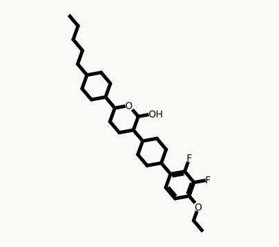 CCCCCC1CCC(C2CCC(C3CCC(c4ccc(OCC)c(F)c4F)CC3)C(O)O2)CC1